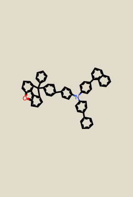 c1ccc(-c2ccc(N(c3ccc(-c4ccc(C5(c6ccccc6)c6cccc7oc8cccc5c8c67)cc4)cc3)c3ccc(-c4cccc5ccccc45)cc3)cc2)cc1